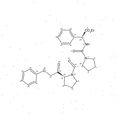 CCOC(=O)[C@@H](NC(=O)N1CCC[C@@H]1C(=O)N1CCC[C@H]1C(=O)COc1ccccc1)c1ccccc1